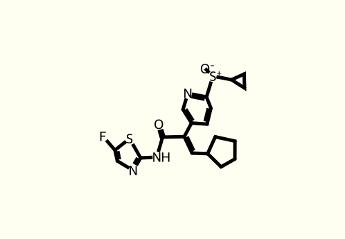 O=C(Nc1ncc(F)s1)/C(=C/C1CCCC1)c1ccc([S+]([O-])C2CC2)nc1